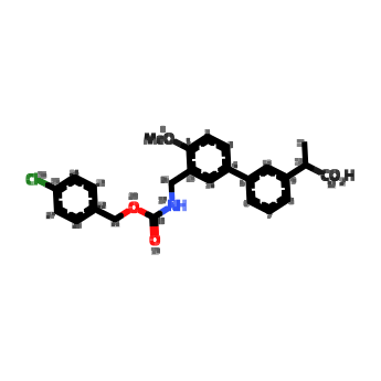 COc1ccc(-c2cccc(C(C)C(=O)O)c2)cc1CNC(=O)OCc1ccc(Cl)cc1